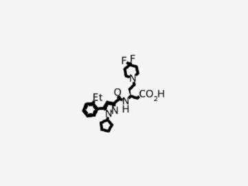 CCc1ccccc1-c1cc(C(=O)N[C@@H](CCN2CCC(F)(F)CC2)CC(=O)O)nn1C1CCCC1